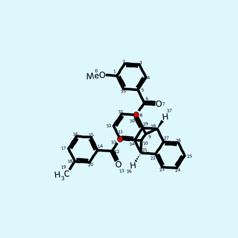 COc1cccc(C(=O)OC2C(OC(=O)c3cccc(C)c3)[C@H]3c4ccccc4[C@H]2c2ccccc23)c1